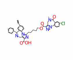 C#Cc1ccc2c(c1)C(c1ccccc1)=NCc1c(C(=O)O)nc(CCCCCOC(=O)c3ncn4c3CN(C)C(=O)c3cc(Cl)ccc3-4)n1-2